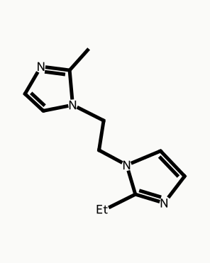 CCc1nccn1CCn1ccnc1C